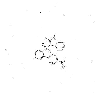 Cc1c(S(=O)(=O)c2ccccc2-c2ccc([N+](=O)[O-])cc2)c2ccccc2n1C